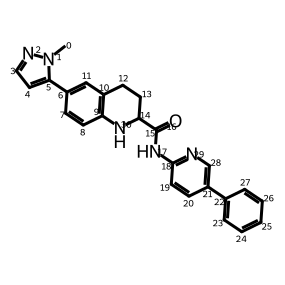 Cn1nccc1-c1ccc2c(c1)CCC(C(=O)Nc1ccc(-c3ccccc3)cn1)N2